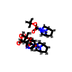 CC(C)(C)OC(=O)N1CC2CCC(C1)N2.CC(C)(C)OC(=O)N1CC2CCC(C1)N2c1ccc(C(=O)O)nc1